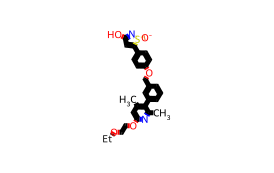 CCOCCOc1cc(C)c(-c2cccc(COc3ccc(-c4cc(O)n[s+]4[O-])cc3)c2)c(C)n1